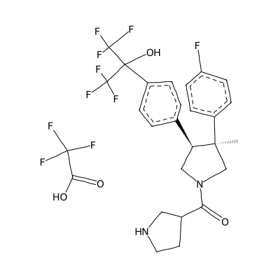 C[C@]1(c2ccc(F)cc2)CN(C(=O)C2CCNC2)C[C@H]1c1ccc(C(O)(C(F)(F)F)C(F)(F)F)cc1.O=C(O)C(F)(F)F